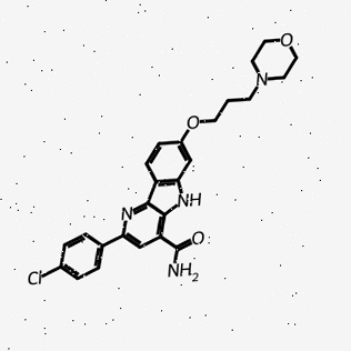 NC(=O)c1cc(-c2ccc(Cl)cc2)nc2c1[nH]c1cc(OCCCN3CCOCC3)ccc12